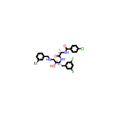 CCc1cccc(CNC[C@H](O)[C@@H](Cc2cc(F)cc(F)c2)NC(=O)[C@H](C)NC(=O)c2ccc(Cl)cc2)c1